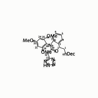 CCCCCCCCCCCCc1ccccc1N(C(=O)Cc1nn[nH]n1)c1c(OC)cc(OC)cc1OC